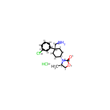 C[C@@H]1COC(=O)N1[C@H]1CC[C@@](CN)(c2cccc(Cl)c2)CC1.Cl